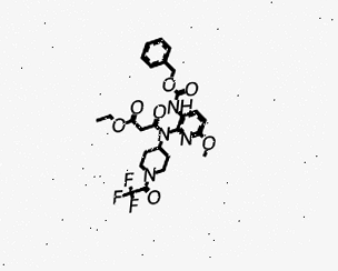 CCOC(=O)CC(=O)N(c1nc(OC)ccc1NC(=O)OCc1ccccc1)C1CCN(C(=O)C(F)(F)F)CC1